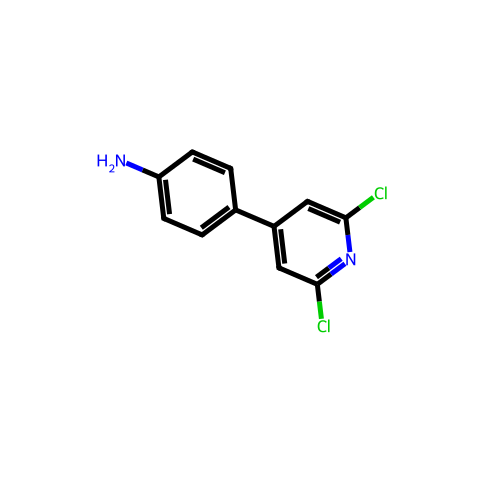 Nc1ccc(-c2cc(Cl)nc(Cl)c2)cc1